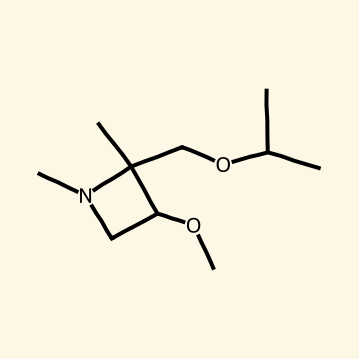 COC1CN(C)C1(C)COC(C)C